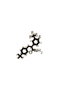 CC(C)(C)c1ccc(CC(C(N)=O)c2ccc(F)c(C(F)(F)F)c2)cc1